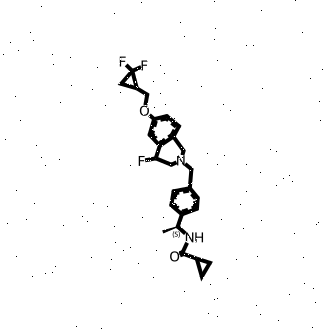 C[C@H](NC(=O)C1CC1)c1ccc(CN2Cc3ccc(OCC4CC4(F)F)cc3C(F)C2)cc1